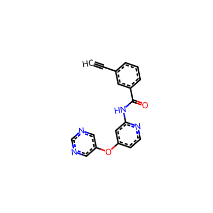 C#Cc1cccc(C(=O)Nc2cc(Oc3cncnc3)ccn2)c1